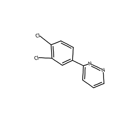 Clc1ccc(-c2cccnn2)cc1Cl